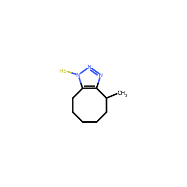 CC1CCCCCc2c1nnn2S